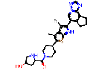 Cc1c(C2CCN(C(=O)[C@H]3C[C@@H](O)CN3)CC2)sc2[nH]c(-c3cn4ncnc4c4c3CCC4)c(C(C)C)c12